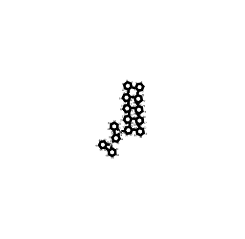 c1ccc2c(c1)c1ccccc1c1cccc3c4cccc5c6cccc7c8cc(-n9c%10ccccc%10c%10cc(-n%11c%12ccccc%12c%12ccccc%12%11)ccc%109)ccc8c8ccccc8c8cccc(c9cccc(c%10cccc2c%10c13)c9c45)c8c76